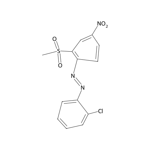 CS(=O)(=O)c1cc([N+](=O)[O-])ccc1N=Nc1ccccc1Cl